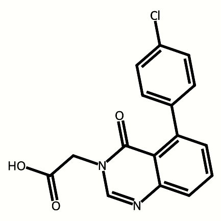 O=C(O)Cn1cnc2cccc(-c3ccc(Cl)cc3)c2c1=O